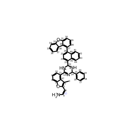 Cc1c(/C=C\N)oc2cccc(C3=NC(c4ccccc4)NC(c4ccc(-c5cccc6oc7ccccc7c56)c5ccccc45)N3)c12